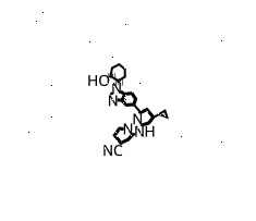 N#Cc1ccnc(Nc2cc(C3CC3)cc(-c3ccc4c(c3)ncn4[C@@H]3CCCC[C@H]3O)n2)c1